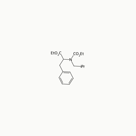 CCOC(=O)C(Cc1ccccc1)N(CC(C)C)C(=O)OCC